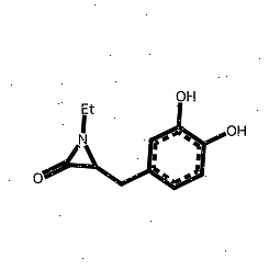 CCN1C(=O)C1Cc1ccc(O)c(O)c1